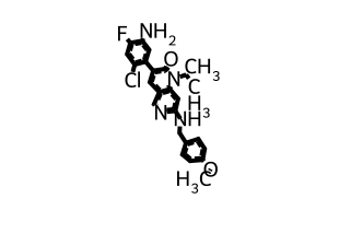 COc1ccc(CNc2cc3c(cn2)cc(-c2cc(N)c(F)cc2Cl)c(=O)n3C(C)C)cc1